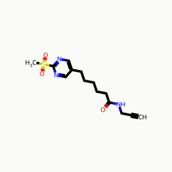 C#CCNC(=O)CCCCCc1cnc(S(C)(=O)=O)nc1